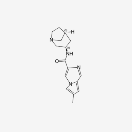 Cc1cc2cnc(C(=O)N[C@@H]3C[C@@H]4CCN(C4)C3)cn2c1